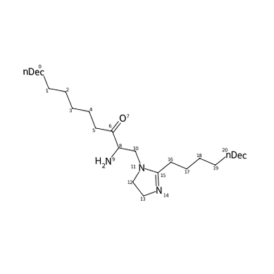 CCCCCCCCCCCCCCCC(=O)C(N)CN1CCN=C1CCCCCCCCCCCCCC